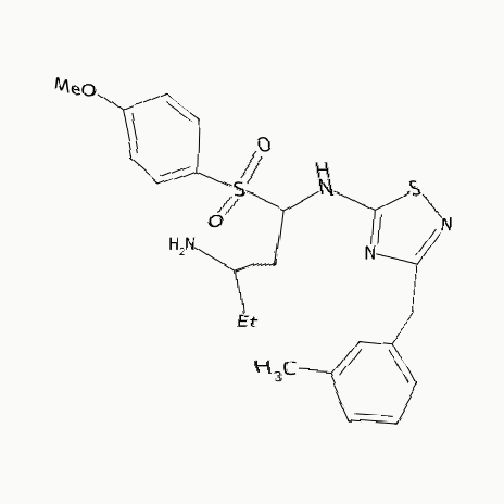 CCC(N)CC(Nc1nc(Cc2cccc(C)c2)ns1)S(=O)(=O)c1ccc(OC)cc1